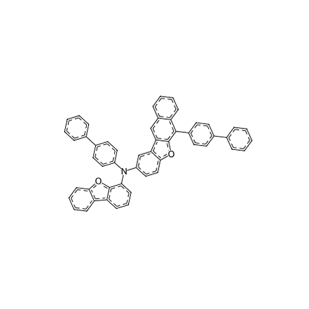 c1ccc(-c2ccc(-c3c4ccccc4cc4c3oc3ccc(N(c5ccc(-c6ccccc6)cc5)c5cccc6c5oc5ccccc56)cc34)cc2)cc1